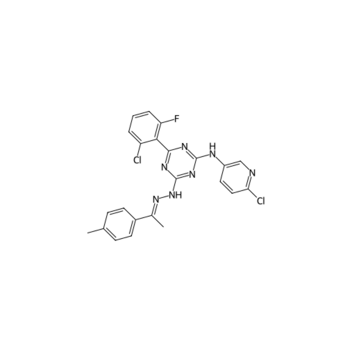 C/C(=N\Nc1nc(Nc2ccc(Cl)nc2)nc(-c2c(F)cccc2Cl)n1)c1ccc(C)cc1